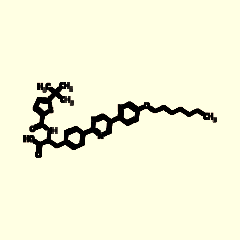 CCCCCCCOc1ccc(-c2cnc(-c3ccc(CC(NC(=O)c4ccc(C(C)(C)C)s4)C(=O)O)cc3)nc2)nc1